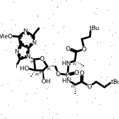 COc1nc(C)nc2c1nc(I)n2[C@@H]1O[C@H](COP(=O)(N[C@@H](C)C(=O)OCCC(C)(C)C)N[C@@H](C)C(=O)OCCC(C)(C)C)[C@@H](O)[C@@]1(C)O